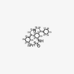 CCCSC(=O)Nc1cc2c3c(c1)C(c1ccccc1)CCN3CCC2c1ccccc1